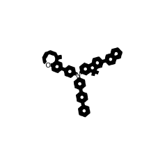 C=C1/C=C\C=C/COc2ccc(-c3ccc(N(c4ccc(-c5ccc(-c6ccccc6)cc5)cc4)c4ccc5c(c4)C(C)(C)c4cc(-c6ccc7ccccc7c6)ccc4-5)cc3)cc21